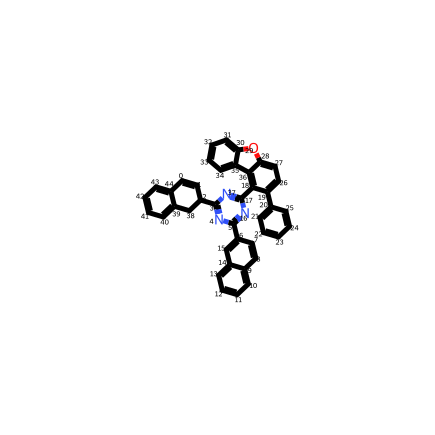 C1=CC(c2nc(-c3ccc4ccccc4c3)nc(-c3c(-c4ccccc4)ccc4oc5ccccc5c34)n2)Cc2ccccc21